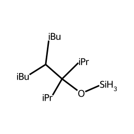 CCC(C)C(C(C)CC)C(O[SiH3])(C(C)C)C(C)C